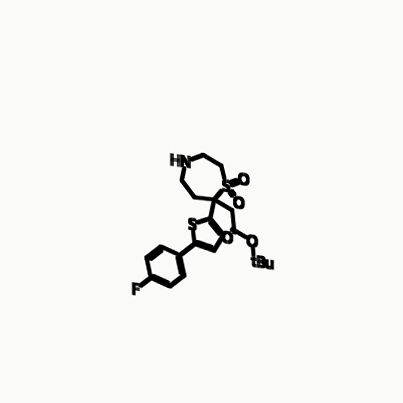 CC(C)(C)OC(=O)CC1(c2ccc(-c3ccc(F)cc3)s2)CCNCCS1(=O)=O